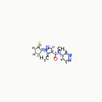 Cc1c(C(=O)N(C)c2ccnnc2)cnn1C1CCCC1F